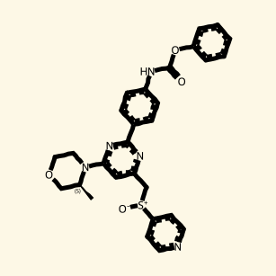 C[C@H]1COCCN1c1cc(C[S+]([O-])c2ccncc2)nc(-c2ccc(NC(=O)Oc3ccccc3)cc2)n1